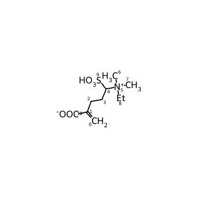 C=C(CCC([N+](C)(C)CC)S(=O)(=O)O)C(=O)[O-]